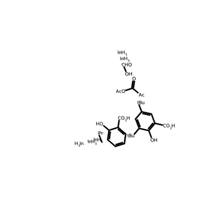 CC(=O)OC(=O)C(C)=O.CC(C)(C)c1cc(C(=O)O)c(O)c(C(C)(C)C)c1.C[C](C)C.O=C(O)c1ccccc1O.O=CO.[InH3].[InH3].[InH3].[InH3].[InH3]